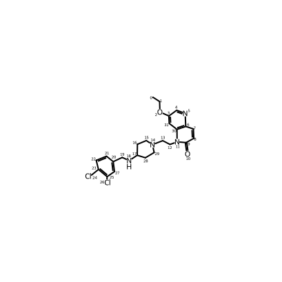 CCOc1cnc2ccc(=O)n(CCN3CCC(NCc4ccc(Cl)c(Cl)c4)CC3)c2c1